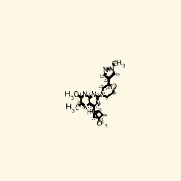 Cc1nc2nc(N3CCOC(c4cnn(C)c4)C3)nc([C@@H]3CC4(C(F)(F)F)CC3C4)c2nc1C